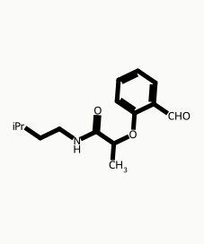 CC(C)CCNC(=O)C(C)Oc1ccccc1C=O